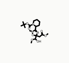 COC(=O)CC1(C(O)OC)N=C(C2CCCCN2C(=O)OC(C)(C)C)N(C)O1